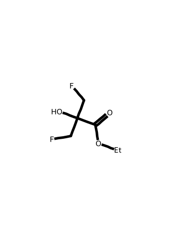 CCOC(=O)C(O)(CF)CF